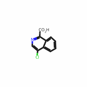 O=C(O)c1ncc(Cl)c2ccccc12